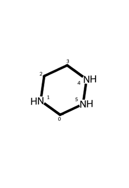 [CH]1NCCNN1